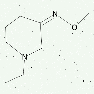 CCN1CCCC(=NOC)C1